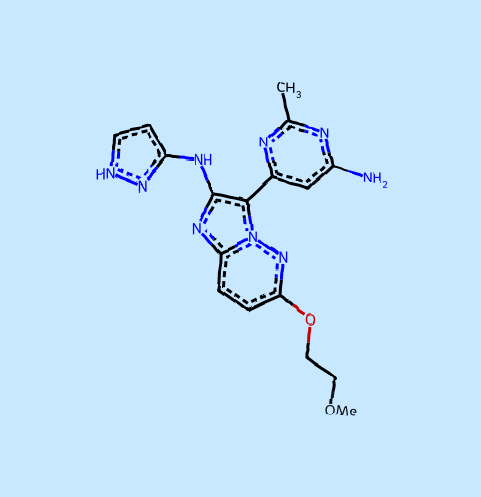 COCCOc1ccc2nc(Nc3cc[nH]n3)c(-c3cc(N)nc(C)n3)n2n1